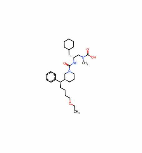 CCOCCCC[C@@H](c1ccccc1)[C@@H]1CCCN(C(=O)N[C@H](CC2CCCCC2)CN(C)C(=O)O)C1